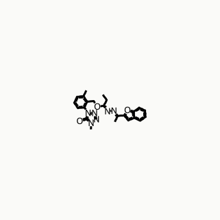 CC/C(=N\N=C(/C)c1cc2ccccc2o1)OCc1c(C)cccc1-n1nnn(C)c1=O